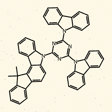 CC1(C)c2ccccc2-c2ccc3c(c21)c1ccccc1n3-c1nc(-n2c3ccccc3c3ccccc32)nc(-n2c3ccccc3c3ccccc32)n1